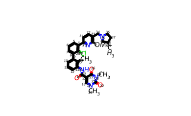 COc1nc(-c2cccc(-c3cccc(NC(=O)c4cn(C)c(=O)n(C)c4=O)c3C)c2Cl)ccc1CN1CC[C@H](C)C1